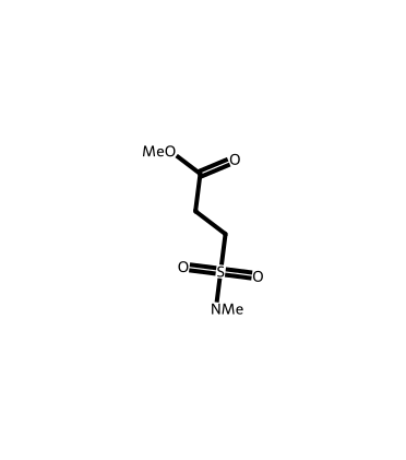 CNS(=O)(=O)CCC(=O)OC